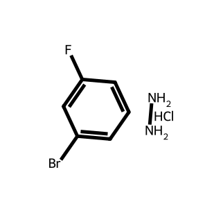 Cl.Fc1cccc(Br)c1.NN